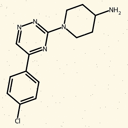 NC1CCN(c2nncc(-c3ccc(Cl)cc3)n2)CC1